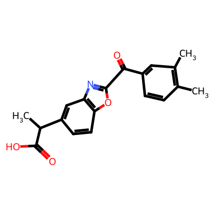 Cc1ccc(C(=O)c2nc3cc(C(C)C(=O)O)ccc3o2)cc1C